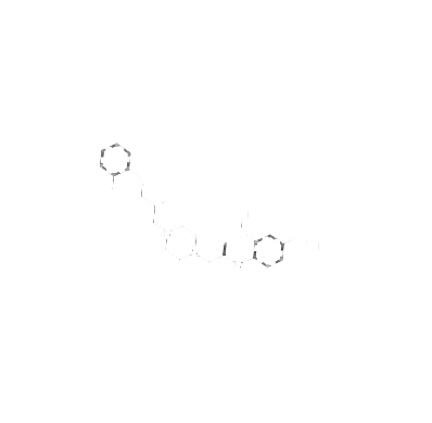 COc1ccc(NC(=O)CN2CCN(C[C@H](O)COc3ccccc3F)[C@@H](C)C2)c(OC)c1